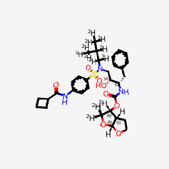 [2H]C([2H])([2H])C([2H])(C([2H])([2H])[2H])C([2H])([2H])N(C[C@@H](O)[C@H](Cc1ccccc1)NC(=O)O[C@]1([2H])[C@@H]2CCO[C@@H]2OC1([2H])[2H])S(=O)(=O)c1ccc(NC(=O)C2CCC2)cc1